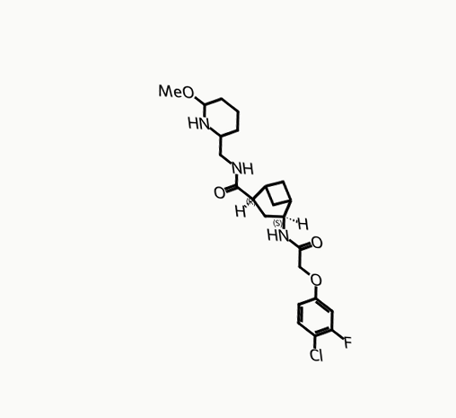 COC1CCCC(CNC(=O)[C@@H]2C[C@H](NC(=O)COc3ccc(Cl)c(F)c3)C3CC2C3)N1